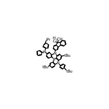 CC(C)c1ccc(N(c2ccccc2)c2ccc3c(c2)N(c2ccc4c(c2)-c2ccccc2C4(C)C)c2cc(C(C)(C)C)cc4c2B3c2cc(C(C)(C)C)ccc2N4c2ccc(C(C)(C)C)cc2)cc1